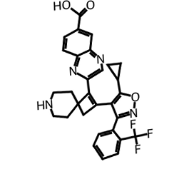 O=C(O)c1ccc2nc(C3=C(c4c(-c5ccccc5C(F)(F)F)noc4C4CC4)CC34CCNCC4)cnc2c1